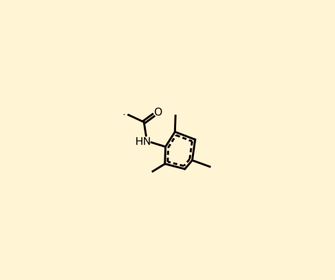 [CH2]C(=O)Nc1c(C)cc(C)cc1C